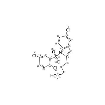 O=C(O)CCCc1cc2nc(Cl)ccc2n1S(=O)(=O)c1cc(Cl)ccc1Cl